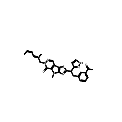 C/C=C\C=C(/C)Cn1ncc2c3sc(C(Cc4cccc(C(C)=O)c4)c4cc[nH]n4)nc3n(C)c2c1=O